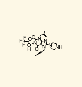 C=C(C)Cn1c(=O)n(C)c(=O)c2c1nc(N1CCNCC1)n2CC#CC.O=C(O)C(F)(F)F